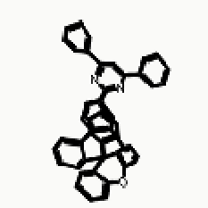 c1ccc(-c2cc(-c3ccccc3)nc(-c3cccc(-c4cccc5c4C4(c6ccccc6O5)c5ccccc5-c5ccccc54)c3)n2)cc1